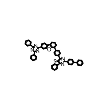 c1ccc(-c2ccc(-c3nc(-c4ccc(-c5cccc6c5oc5cc(-c7nc(-c8ccccc8)nc(-c8ccccc8)n7)ccc56)cc4)c4sc5ccccc5c4n3)cc2)cc1